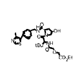 CCOC(=O)COCC(=O)NC(C(=O)N1C[C@H](O)C[C@H]1C(=O)NCc1ccc(-c2scnc2C)cc1)C(C)(C)C